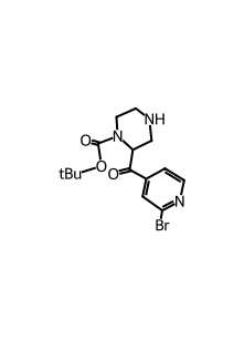 CC(C)(C)OC(=O)N1CCNCC1C(=O)c1ccnc(Br)c1